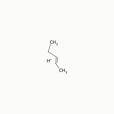 CC=CCC.[H+]